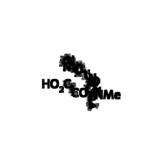 CNCc1c(OCC2CC2)ccc2c(CCC3CCN(c4ncccn4)CC3)noc12.O=C(O)/C=C/C(=O)O